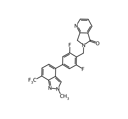 Cn1cc2c(-c3cc(F)c(CN4Cc5ncccc5C4=O)c(F)c3)ccc(C(F)(F)F)c2n1